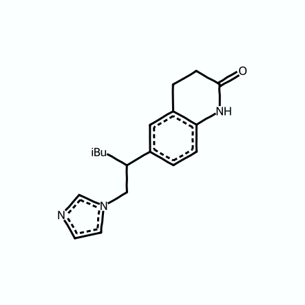 CCC(C)C(Cn1ccnc1)c1ccc2c(c1)CCC(=O)N2